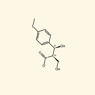 CSc1ccc([C@@H](O)[C@@H](CO)[N+](=O)[O-])cc1